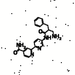 NCC(Cc1ccccc1)C(=O)Nc1ccc(-c2cc(C(N)=O)ccn2)nc1